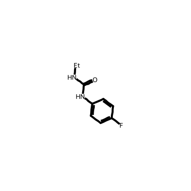 [CH2]CNC(=O)Nc1ccc(F)cc1